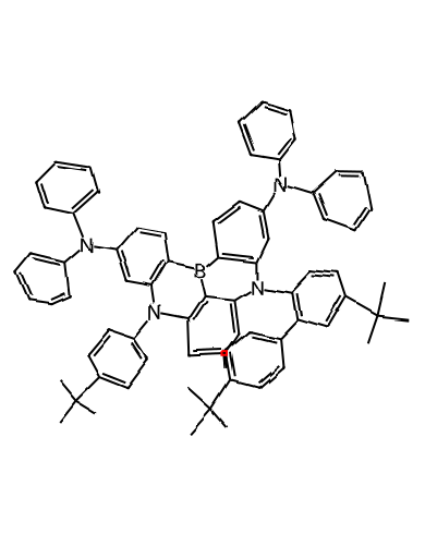 Cc1cc2c3c(c1)N(c1ccc(C(C)(C)C)cc1-c1ccc(C(C)(C)C)cc1)c1cc(N(c4ccccc4)c4ccccc4)ccc1B3c1ccc(N(c3ccccc3)c3ccccc3)cc1N2c1ccc(C(C)(C)C)cc1